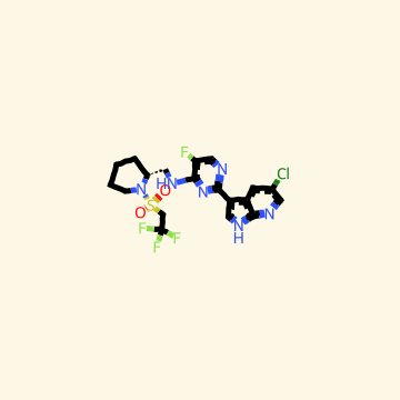 O=S(=O)(CC(F)(F)F)N1CCCC[C@@H]1CNc1nc(-c2c[nH]c3ncc(Cl)cc23)ncc1F